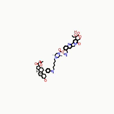 CC[C@@]1(O)C(=O)OCc2c1cc1n(c2=O)Cc2cc3c(CN(C)C)c(OC(=O)N4C[C@@H](C)N(CCCCCCN(C)c5ccc([C@H]6C[C@@]7(C)[C@@H](CC[C@]7(OC(C)=O)C(C)=O)[C@@H]7CCC8=CC(=O)CCC8=C76)cc5)C[C@@H]4C)ccc3nc2-1